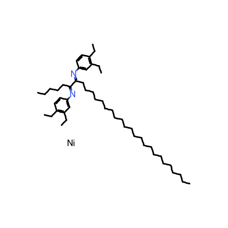 CCCCCCCCCCCCCCCCCCCCCCCC(=Nc1ccc(CC)c(CC)c1)C(CCCCC)=Nc1ccc(CC)c(CC)c1.[Ni]